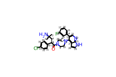 CC(C)(N)C[C@@H](C(=O)N1CCN(c2c(-c3cccc(F)c3)cnc3[nH]ccc23)CC1)c1ccc(Cl)cc1